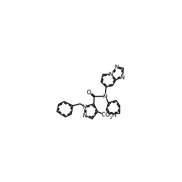 O=C(O)c1cnn(Cc2ccccc2)c1C(=O)N(c1ccccc1)c1ccn2ncnc2c1